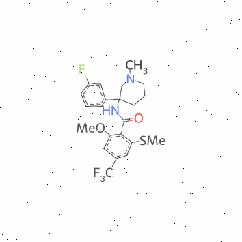 COc1cc(C(F)(F)F)cc(SC)c1C(=O)NC1(c2cccc(F)c2)CCCN(C)C1